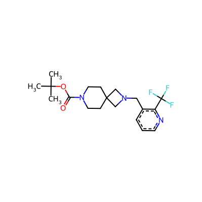 CC(C)(C)OC(=O)N1CCC2(CC1)CN(Cc1cccnc1C(F)(F)F)C2